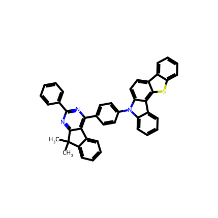 CC1(C)c2ccccc2-c2c(-c3ccc(-n4c5ccccc5c5c6sc7ccccc7c6ccc54)cc3)nc(-c3ccccc3)nc21